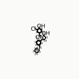 O=C(c1cc(Cl)c(O)cc1O)N1CCCC1c1cccc(CN2CCCC2)c1